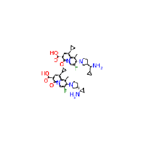 Cc1c(N2CCC(C(N)C3CC3)C2)c(F)cn2c(=O)c(C(=O)O)cc(C3CC3)c12.Cc1c(N2CC[C@H](C3(N)CC3)C2)c(F)cn2c(=O)c(C(=O)O)cc(C3CC3)c12